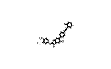 Cc1ccc(Oc2nc3cc(-c4ccc(C#Cc5ccccc5F)cc4)c(Cl)cc3[nH]2)cc1C